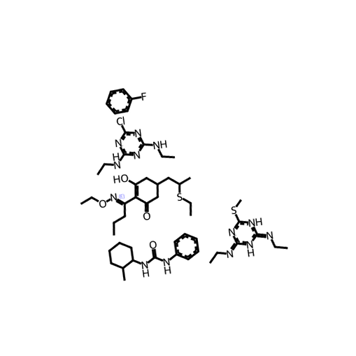 CC1CCCCC1NC(=O)Nc1ccccc1.CCC/C(=N\OCC)C1=C(O)CC(CC(C)SCC)CC1=O.CCN=c1nc(SC)[nH]c(=NCC)[nH]1.CCNc1nc(Cl)nc(NCC)n1.Fc1ccccc1